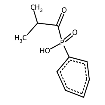 CC(C)C(=O)P(=O)(O)c1ccccc1